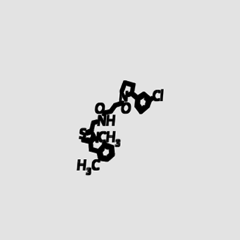 Cc1cccc(C)c1Cc1csc(CNC(=O)CCC(=O)N2CCCC2c2cccc(Cl)c2)n1